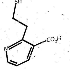 O=C(O)c1cccnc1CCS